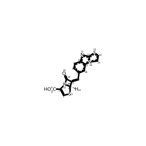 O=C(O)C1=CS[C@@H]2C(=Cc3ccc4nc5sccn5c4c3)C(=O)N12